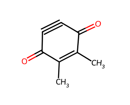 CC1=C(C)C(=O)C#CC1=O